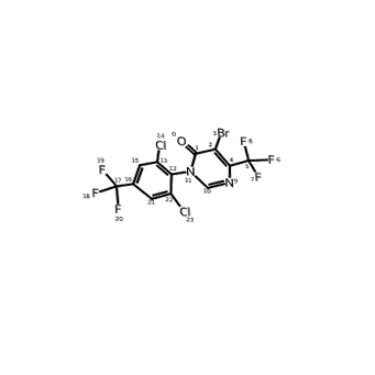 O=c1c(Br)c(C(F)(F)F)ncn1-c1c(Cl)cc(C(F)(F)F)cc1Cl